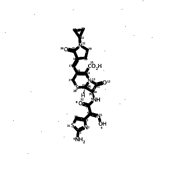 Nc1nc(C(=NO)C(=O)N[C@@H]2C(=O)N3C(C(=O)O)=C(C=C4CCN(C5CC5)C4=O)CS[C@H]23)cs1